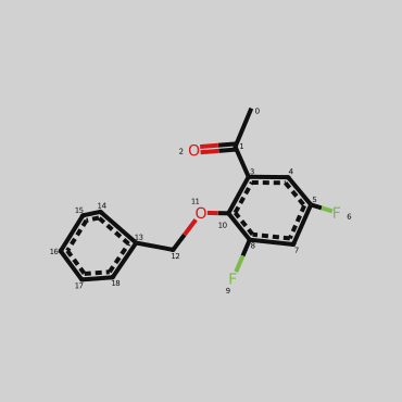 CC(=O)c1cc(F)cc(F)c1OCc1ccccc1